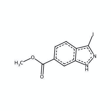 COC(=O)c1ccc2c(I)n[nH]c2c1